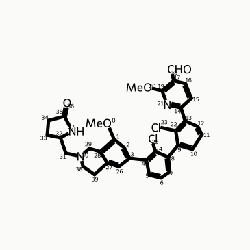 COc1cc(-c2cccc(-c3cccc(-c4ccc(C=O)c(OC)n4)c3Cl)c2Cl)cc2c1CN(CC1CCC(=O)N1)CC2